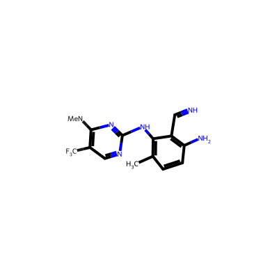 CNc1nc(Nc2c(C)ccc(N)c2C=N)ncc1C(F)(F)F